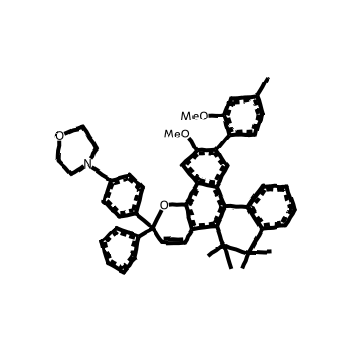 COc1cc(C)ccc1-c1cc2c3c(c4c(c2cc1OC)OC(c1ccccc1)(c1ccc(N2CCOCC2)cc1)C=C4)C(C)(C)C(C)(C)c1ccccc1-3